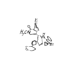 CCS(=O)(=O)Nc1ccc(OC2CCOC2)c(-c2cn(C)c(=O)c3[nH]ccc23)c1